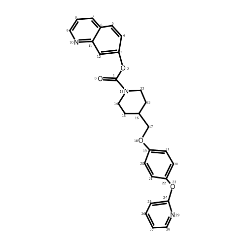 O=C(Oc1ccc2cccnc2c1)N1CCC(COc2ccc(Oc3ccccn3)cc2)CC1